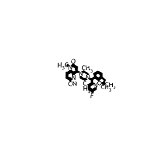 C[C@@H]1CN(c2cc(=O)n(C)c3ccc(C#N)nc23)[C@@H](C)CN1C(c1ccc(F)cn1)c1cccc2c1OC(C)(C)C2